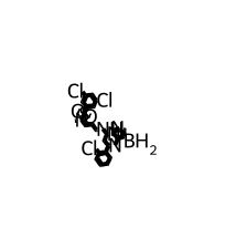 Bc1cnn2c1N=C(C1=C(Cl)C=CCC1)CC2NCCCN(C)S(=O)(=O)c1cc(Cl)cc(Cl)c1